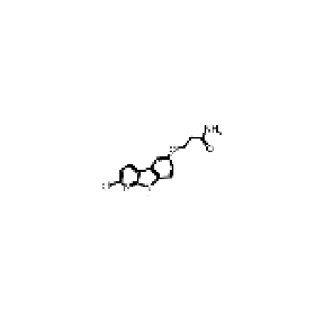 NC(=O)CCOc1ccc2[nH]c3nc(Cl)ccc3c2c1